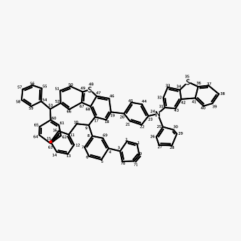 c1ccc(-c2cccc(C(Cc3ccccc3)c3cc(-c4ccc(N(c5ccccc5)c5ccc6sc7ccccc7c6c5)cc4)cc4sc5ccc(C(c6ccccc6)c6ccccc6)cc5c34)c2)cc#1